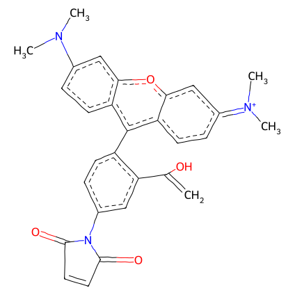 C=C(O)c1cc(N2C(=O)C=CC2=O)ccc1-c1c2ccc(=[N+](C)C)cc-2oc2cc(N(C)C)ccc12